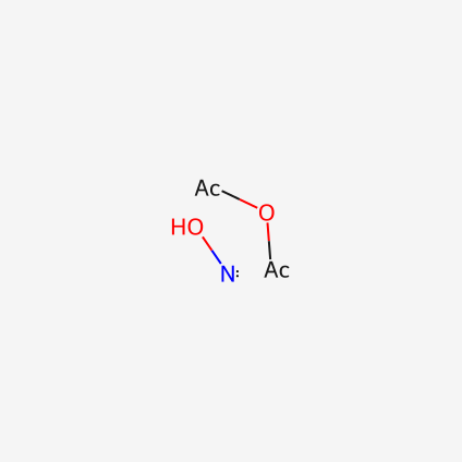 CC(=O)OC(C)=O.[N]O